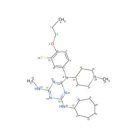 CCCOc1ccc(N(c2nc(NC)nc(NC3CCCCCC3)n2)C2CCN(C)CC2)cc1F